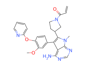 C=CC(=O)N1CCC(c2c(-c3ccc(Oc4ccccn4)c(OC)c3)c3c(N)ncnc3n2C)C1